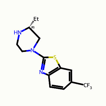 CC[C@@H]1CN(c2nc3ccc(C(F)(F)F)cc3s2)CCN1